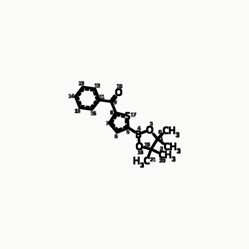 CC1(C)OB(c2ccc(C(=O)c3ccccc3)s2)OC1(C)C